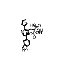 O=P(O)(O)C(Cc1cc(-c2ccc3[nH]ncc3c2)cnc1-c1ccsc1)P(=O)(O)O